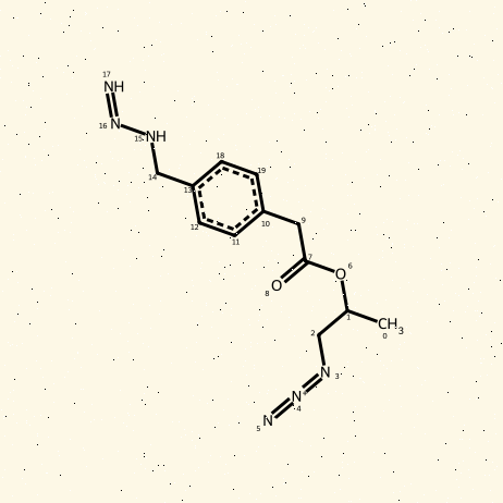 CC(CN=[N+]=[N-])OC(=O)Cc1ccc(CNN=N)cc1